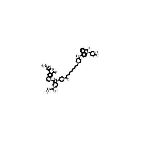 CNC(O)N1CCc2c(c(N3CCCc4cc(-c5cnn(C)c5)c(C(F)F)cc43)nn2C2CCN(C(=O)CCCCCCCCN3CCC(Nc4ccc5c6c(cccc46)C(=O)N5C4CCC(=O)NC4)CC3)CC2)C1